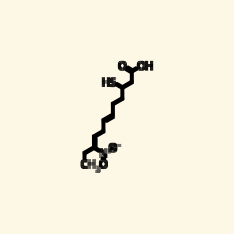 CCC(=CCC=CCCC(S)CC(=O)O)[N+](=O)[O-]